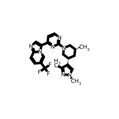 Cc1nn(C)cc1[C@H]1C[C@@H](C)CN(c2nccc(-c3cnc4ccc(C(F)(F)F)cn34)n2)C1